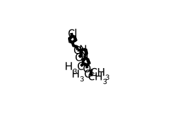 Cc1cc(-n2ccnc(OCCc3ccc(Cl)cc3)c2=O)ccc1OCC(C)(C)C